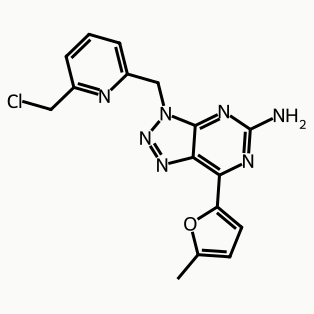 Cc1ccc(-c2nc(N)nc3c2nnn3Cc2cccc(CCl)n2)o1